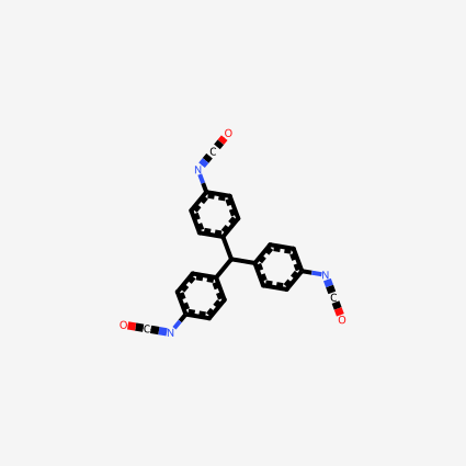 O=C=Nc1ccc([C](c2ccc(N=C=O)cc2)c2ccc(N=C=O)cc2)cc1